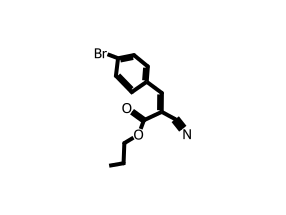 CCCOC(=O)C(C#N)=Cc1ccc(Br)cc1